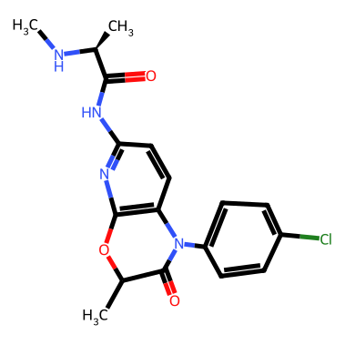 CN[C@@H](C)C(=O)Nc1ccc2c(n1)OC(C)C(=O)N2c1ccc(Cl)cc1